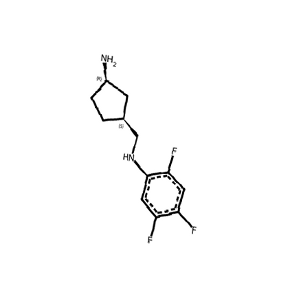 N[C@@H]1CC[C@H](CNc2cc(F)c(F)cc2F)C1